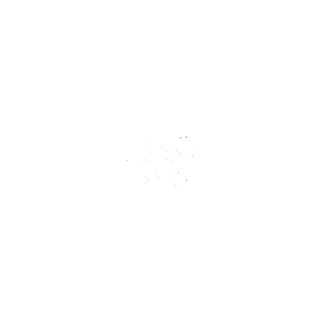 COc1nc2c(-n3ccnc3)c(-c3n[nH]c(C(OCCO)C(F)(F)F)n3)n(C)c2cc1Cl